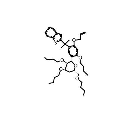 C=CCOc1cc(OCCCC)c([C@@H]2O[C@H](COCCCC)C[C@H](OCCCC)[C@H]2OCCCC)cc1C(C)(C)c1cc2ccccc2s1